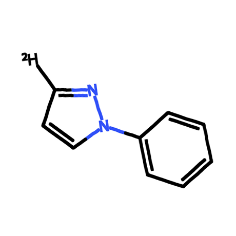 [2H]c1ccn(-c2ccccc2)n1